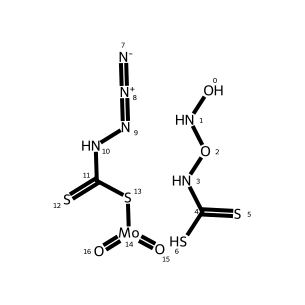 ONONC(=S)S.[N-]=[N+]=NNC(=S)[S][Mo](=[O])=[O]